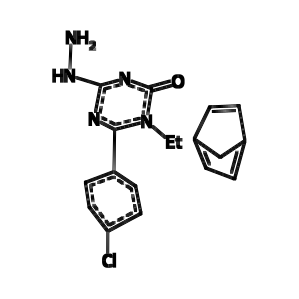 C1=CC2=CC=C1C2.CCn1c(-c2ccc(Cl)cc2)nc(NN)nc1=O